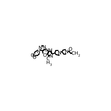 C=CC(=O)N1CCC(N2CCC(c3cc4c(c(C)n3)OCc3c(ncnc3N3CCS(=O)(=O)CC3)N4)CC2)CC1